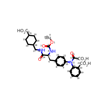 CC(C)(C)OC(=O)N[C@@H](Cc1ccc(N(C(=O)C(=O)O)c2ccccc2C(=O)O)cc1)C(=O)NCC1CCC(C(=O)O)CC1